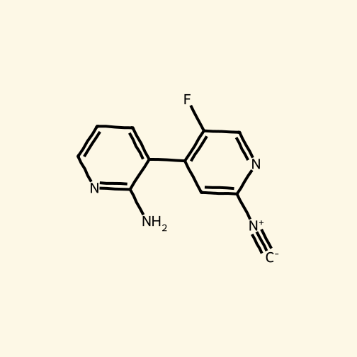 [C-]#[N+]c1cc(-c2cccnc2N)c(F)cn1